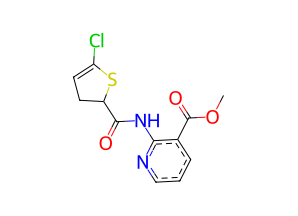 COC(=O)c1cccnc1NC(=O)C1CC=C(Cl)S1